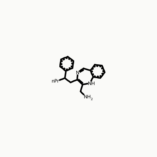 CCCC(CC1=C(CN)Nc2ccccc2C=N1)c1ccccc1